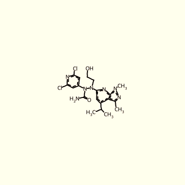 Cc1nn(C)c2nc(N(CCO)N(C(N)=O)c3cc(Cl)nc(Cl)c3)cc(C(C)C)c12